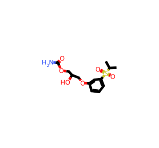 CC(C)S(=O)(=O)c1cccc(OCC(O)COC(N)=O)c1